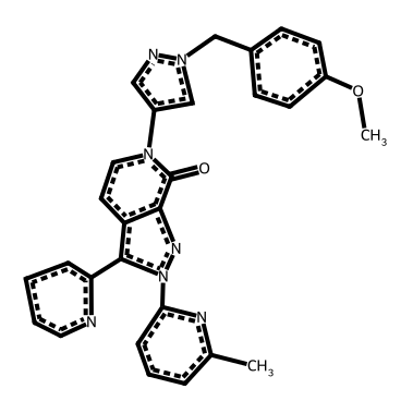 COc1ccc(Cn2cc(-n3ccc4c(-c5ccccn5)n(-c5cccc(C)n5)nc4c3=O)cn2)cc1